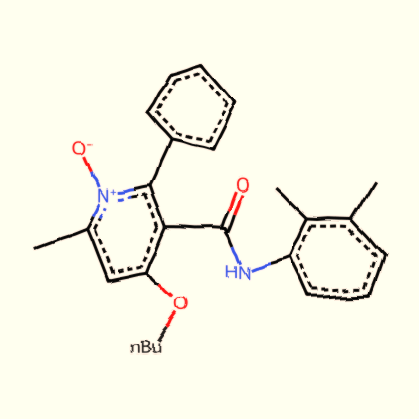 CCCCOc1cc(C)[n+]([O-])c(-c2ccccc2)c1C(=O)Nc1cccc(C)c1C